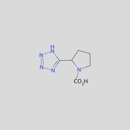 O=C(O)N1CCCC1c1nnn[nH]1